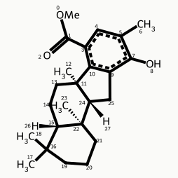 COC(=O)c1cc(C)c(O)c2c1[C@]1(C)CC[C@H]3C(C)(C)CCC[C@]3(C)[C@H]1C2